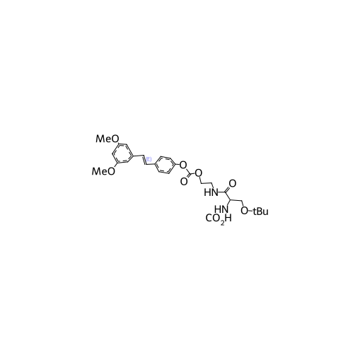 COc1cc(/C=C/c2ccc(OC(=O)OCCNC(=O)C(COC(C)(C)C)NC(=O)O)cc2)cc(OC)c1